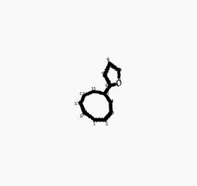 C1CCCC[C](C2CCCO2)CCC1